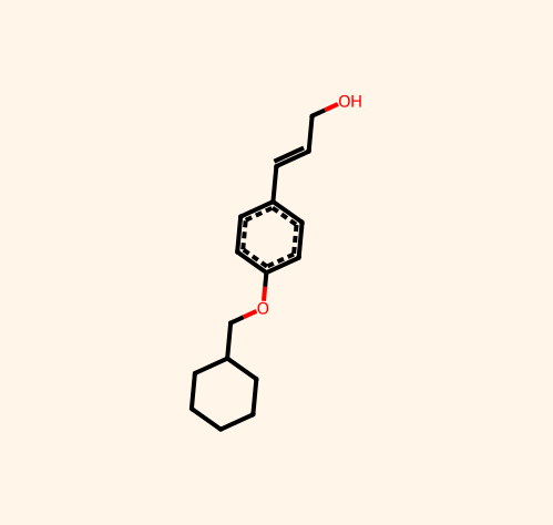 OCC=Cc1ccc(OCC2CCCCC2)cc1